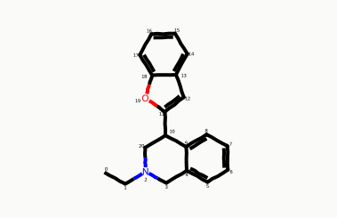 CCN1Cc2ccccc2C(c2cc3ccccc3o2)C1